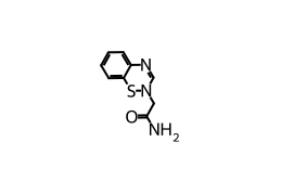 NC(=O)CN1C=Nc2ccccc2S1